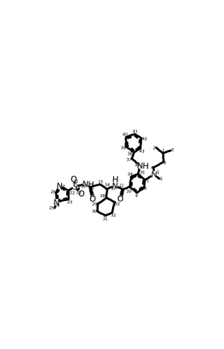 CC(C)CCN(C)c1ccc(C(=O)NC(CC(=O)NS(=O)(=O)c2cn(C)cn2)C2CCCCC2)cc1NCc1ccccc1